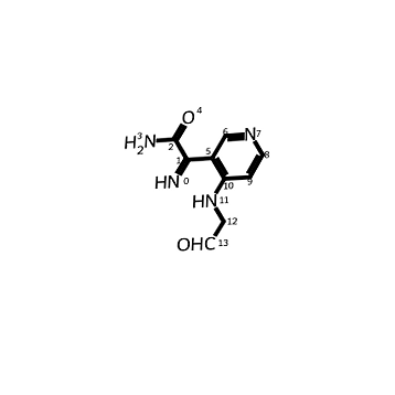 N=C(C(N)=O)c1cnccc1NCC=O